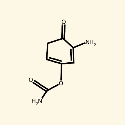 NC(=O)OC1=CCC(=O)C(N)=C1